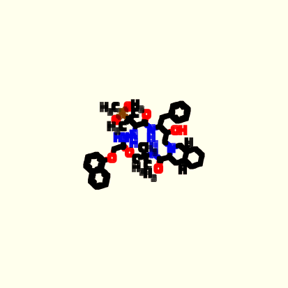 CC(C)(C)NC(=O)C1C[C@@H]2CCCC[C@@H]2CN1CC(O)C(Cc1ccccc1)NC(=O)[C@@H](NNC(=O)COc1cccc2ccccc12)C(C)(C)S(C)(=O)=O